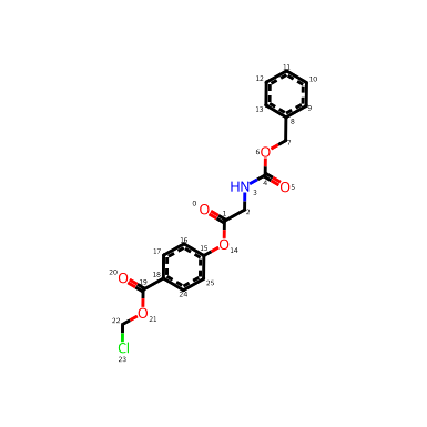 O=C(CNC(=O)OCc1ccccc1)Oc1ccc(C(=O)OCCl)cc1